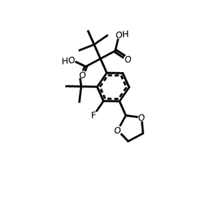 CC(C)(C)c1c(C(C(=O)O)(C(=O)O)C(C)(C)C)ccc(C2OCCO2)c1F